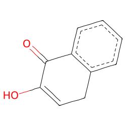 O=C1C(O)=CCc2ccccc21